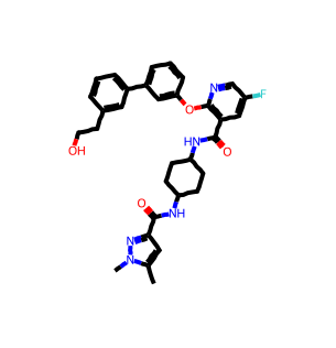 Cc1cc(C(=O)NC2CCC(NC(=O)c3cc(F)cnc3Oc3cccc(-c4cccc(CCO)c4)c3)CC2)nn1C